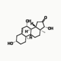 C[C@]12CC[C@H]3[C@@H]([C@@H](O)C=C4C[C@@H](O)CC[C@@]43C)[C@@H]1CC(=O)[C@@H]2O